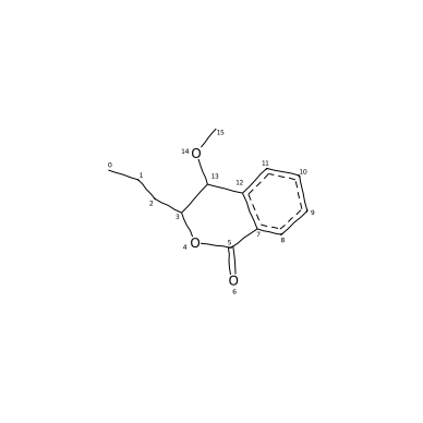 CCCC1OC(=O)c2ccccc2C1OC